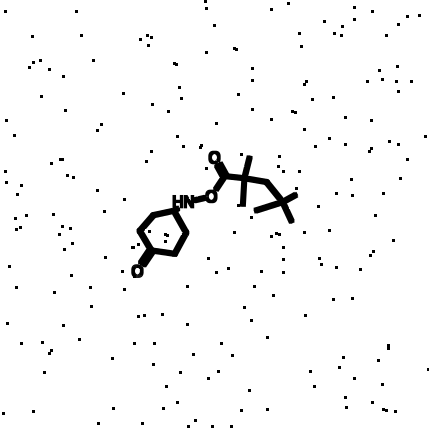 CC(C)(C)CC(C)(C)C(=O)ONC1CCC(=O)CC1